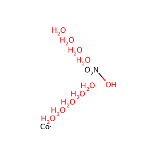 O.O.O.O.O.O.O.O.O.O=[N+]([O-])O.[Co]